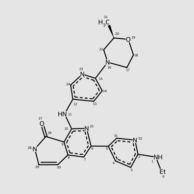 CCNc1ccc(-c2cc3c(c(Nc4ccc(N5CCO[C@H](C)C5)nc4)n2)C(=O)[N]C=C3)cn1